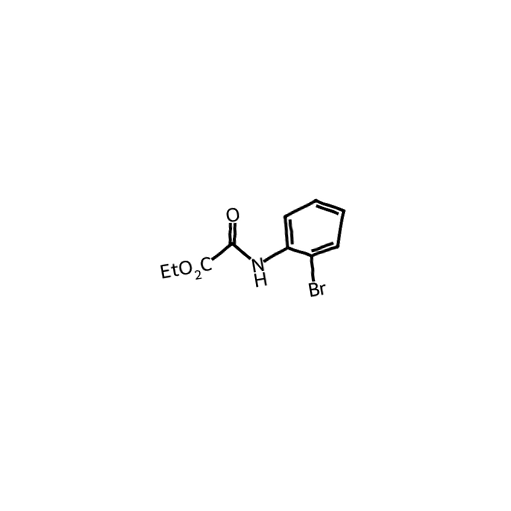 CCOC(=O)C(=O)Nc1ccccc1Br